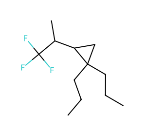 CCCC1(CCC)CC1C(C)C(F)(F)F